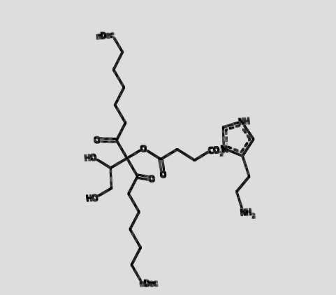 CCCCCCCCCCCCCCCC(=O)C(OC(=O)CCC(=O)O)(C(=O)CCCCCCCCCCCCCCC)C(O)CO.NCCc1c[nH]cn1